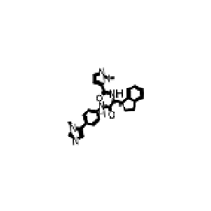 Cn1cncc1-c1ccc(NC(=O)[C@@H](NC(=O)c2ccnn2C)[C@@H]2CCc3ccccc32)cc1